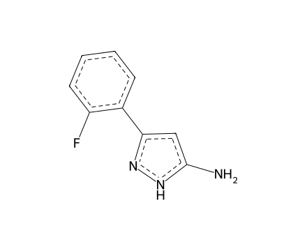 Nc1cc(-c2ccccc2F)n[nH]1